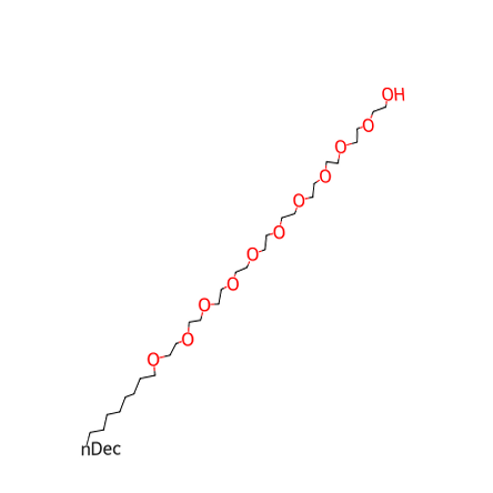 CCCCCCCCCCCCCCCCCCOCCOCCOCCOCCOCCOCCOCCOCCOCCOCCO